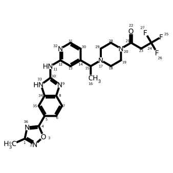 Cc1noc(-c2ccc3nc(Nc4cc(C(C)N5CCN(C(=O)CC(F)(F)F)CC5)ccn4)[nH]c3c2)n1